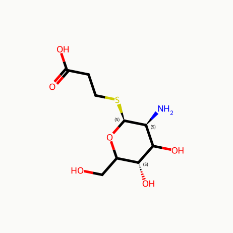 N[C@H]1C(O)[C@H](O)C(CO)O[C@H]1SCCC(=O)O